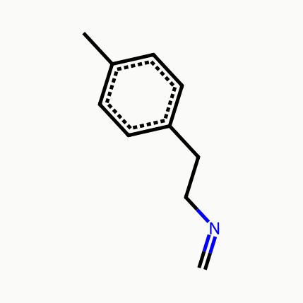 C=NCCc1ccc(C)cc1